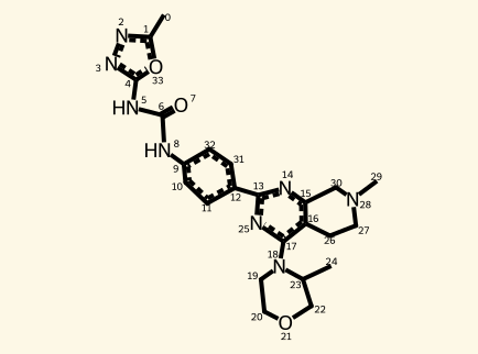 Cc1nnc(NC(=O)Nc2ccc(-c3nc4c(c(N5CCOCC5C)n3)CCN(C)C4)cc2)o1